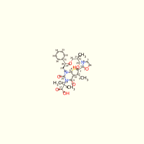 Cc1c(-c2ncco2)sc2c1c(=O)n(C(C)(C)C(=O)O)c(=O)n2C[C@H](OC[C@@H](C)CO)c1ccccc1